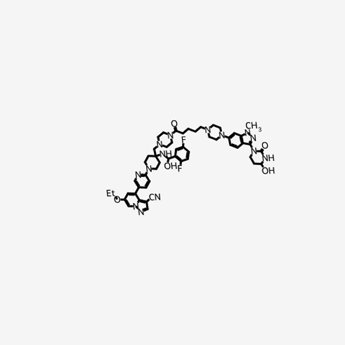 CCOc1cc(-c2ccc(N3CCC(CN4CCN(C(=O)CCCCN5CCN(c6ccc7c(N8CCC(O)NC8=O)nn(C)c7c6)CC5)CC4)(NC(O)c4cc(F)ccc4F)CC3)nc2)c2c(C#N)cnn2c1